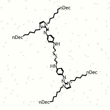 CCCCCCCCCCCCCCCCn1cc[n+](CCCCCCCCCCCCCCCC)c1/N=N/c1ccc(NCCSSCCNc2ccc(/N=N/c3n(CCCCCCCCCCCCCCCC)cc[n+]3CCCCCCCCCCCCCCCC)cc2)cc1